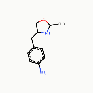 Nc1ccc(CC2COC(C=O)N2)cc1